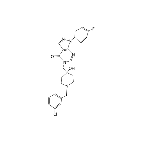 O=c1c2cnn(-c3ccc(F)cc3)c2ncn1CC1(O)CCN(Cc2cccc(Cl)c2)CC1